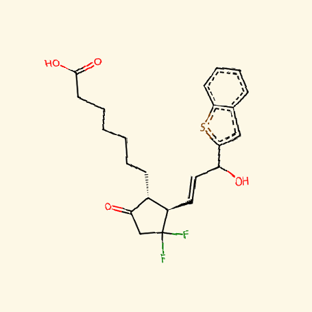 O=C(O)CCCCCC[C@H]1C(=O)CC(F)(F)[C@@H]1C=CC(O)c1cc2ccccc2s1